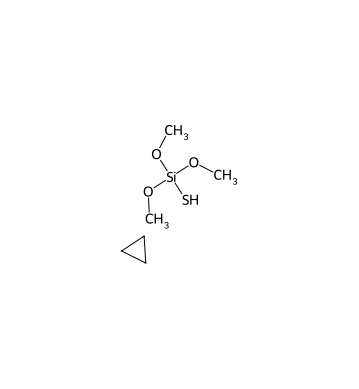 C1CC1.CO[Si](S)(OC)OC